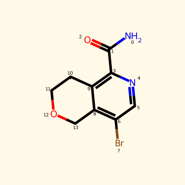 NC(=O)c1ncc(Br)c2c1[CH]COC2